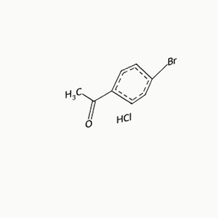 CC(=O)c1ccc(Br)cc1.Cl